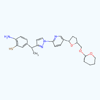 CC(c1ccc(N)c(S)c1)c1ccn(-c2ccc(C3CCC(COC4CCCCO4)O3)cn2)n1